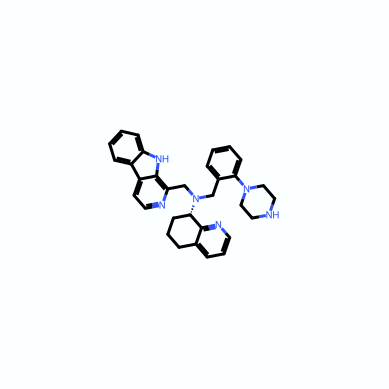 c1ccc(N2CCNCC2)c(CN(Cc2nccc3c2[nH]c2ccccc23)[C@H]2CCCc3cccnc32)c1